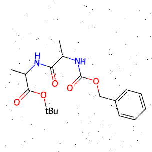 CC(NC(=O)OCc1ccccc1)C(=O)NC(C)C(=O)OC(C)(C)C